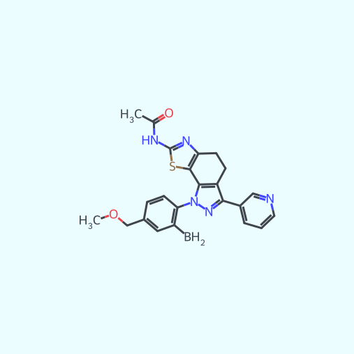 Bc1cc(COC)ccc1-n1nc(-c2cccnc2)c2c1-c1sc(NC(C)=O)nc1CC2